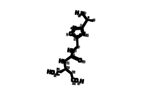 C[C@H](N)c1noc(CNC(=O)N[C@@H](CC(=O)O)C(=O)O)n1